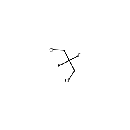 FC(F)(CCl)CCl